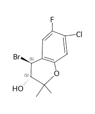 CC1(C)Oc2cc(Cl)c(F)cc2[C@H](Br)[C@H]1O